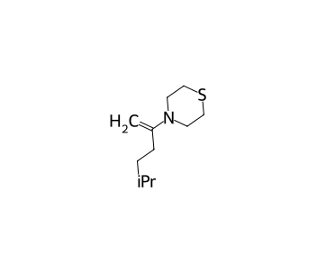 C=C(CCC(C)C)N1CCSCC1